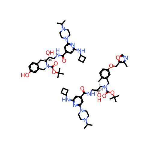 CC(C)N1CCN(c2cc(C(=O)NC[C@@H](O)[C@@H]3Cc4ccc(O)cc4CN3C(=O)OC(C)(C)C)cc(NC3CCC3)n2)CC1.Cc1ncoc1COc1ccc2c(c1)CN(C(=O)OC(C)(C)C)[C@H]([C@H](O)CNC(=O)c1cc(NC3CCC3)nc(N3CCN(C(C)C)CC3)c1)C2